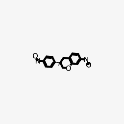 O=Nc1ccc([C@H]2COc3cc(N=O)ccc3C2)cc1